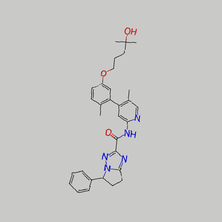 Cc1ccc(OCCCC(C)(C)O)cc1-c1cc(NC(=O)c2nc3n(n2)C(c2ccccc2)CC3)ncc1C